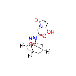 O=C(CN1C(=O)C=CC1O)N[C@@]12C[C@@H]3C[C@@H](C[C@H](C3)O1)C2